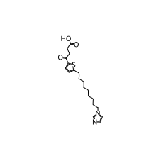 O=C(O)CCC(=O)c1ccc(CCCCCCCCCn2ccnc2)s1